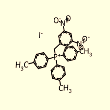 Cc1ccc([P+](Cc2cc([N+](=O)[O-])cc([N+](=O)[O-])c2)(c2ccc(C)cc2)c2ccc(C)cc2)cc1.[I-]